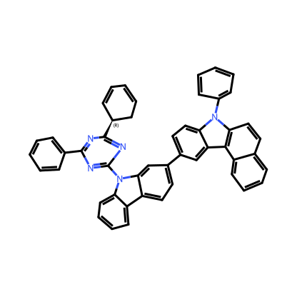 C1=CC[C@@H](c2nc(-c3ccccc3)nc(-n3c4ccccc4c4ccc(-c5ccc6c(c5)c5c7ccccc7ccc5n6-c5ccccc5)cc43)n2)C=C1